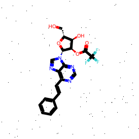 O=C(O[C@@H]1[C@H](O)[C@@H](CO)O[C@H]1n1cnc2c(C=Cc3ccccc3)ncnc21)C(F)(F)F